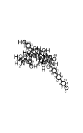 COc1ccc(-c2ccc(-c3ccc(C(=O)NC(NC(=O)[C@@H]4[C@@H](O)[C@@H](C)CN4C(=O)[C@@H](NC(=O)[C@@H](NC(=O)[C@@H]4C[C@@H](O)CN4C(=O)[C@@H](N)[C@@H](C)O)[C@H](O)[C@@H](O)c4ccc(O)cc4)[C@@H](C)O)[C@H](O)OC)cc3)cc2)cc1